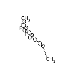 CCCCCCCCOc1ccc(-c2ccc(C(=O)Oc3ccc(C(=O)OC(CCOCC)C(F)(F)F)c(F)c3)cc2)cc1